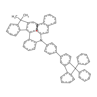 CC1(C)c2ccccc2-c2c(-c3ccccc3N(c3ccc(-c4ccc5c(c4)-c4ccccc4C5(c4ccccc4)c4ccccc4)cc3)c3ccc4ccccc4c3)cccc21